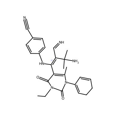 CCn1c(=O)c(/C(Nc2ccc(C#N)cc2)=C(/C=N)C(C)(C)N)c(C)n(C2=CCCC=C2)c1=O